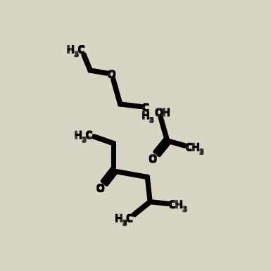 CC(=O)O.CCC(=O)CC(C)C.CCOCC